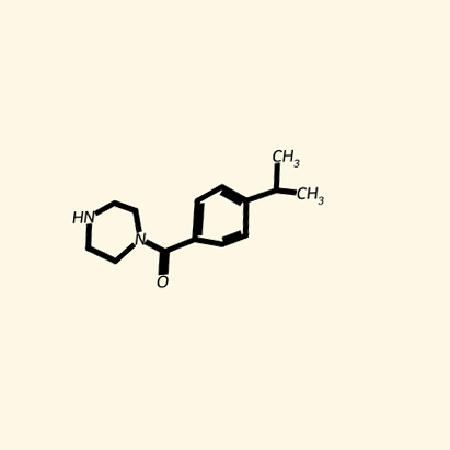 CC(C)c1ccc(C(=O)N2CCNCC2)cc1